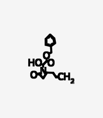 C=CCC1CC(=O)N1C(O)C(=O)OCc1ccccc1